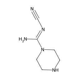 N#C/N=C(\N)N1CCNCC1